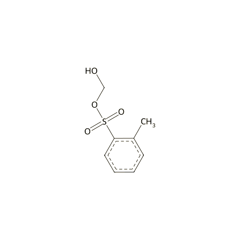 Cc1ccccc1S(=O)(=O)OCO